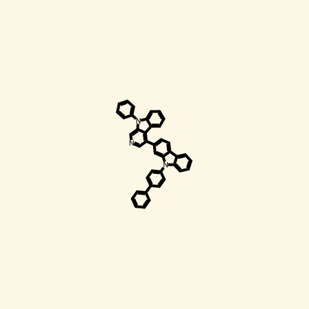 c1ccc(-c2ccc(-n3c4ccccc4c4ccc(-c5cncc6c5c5ccccc5n6-c5ccccc5)cc43)cc2)cc1